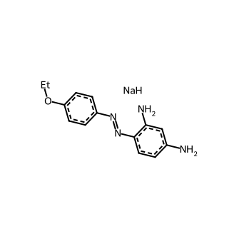 CCOc1ccc(N=Nc2ccc(N)cc2N)cc1.[NaH]